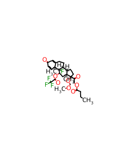 CCCC(=O)OCC(=O)[C@@]1(OCOC)CC[C@H]2[C@@H]3CCC4=CC(=O)C=C[C@]4(C)[C@@]3(F)C(OC(=O)C(F)(F)F)C[C@@]21C